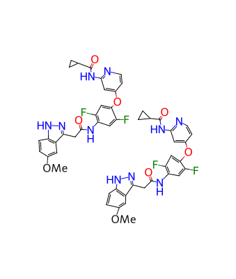 COc1ccc2[nH]nc(CC(=O)Nc3cc(F)c(Oc4ccnc(NC(=O)C5CC5)c4)cc3F)c2c1.COc1ccc2[nH]nc(CC(=O)Nc3cc(F)c(Oc4ccnc(NC(=O)C5CC5)c4)cc3F)c2c1